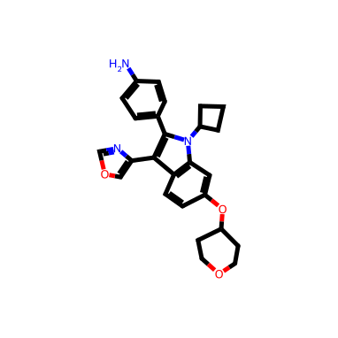 Nc1ccc(-c2c(-c3cocn3)c3ccc(OC4CCOCC4)cc3n2C2CCC2)cc1